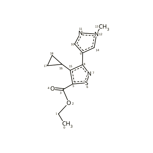 CCOC(=O)c1snc(-c2cnn(C)c2)c1C1CC1